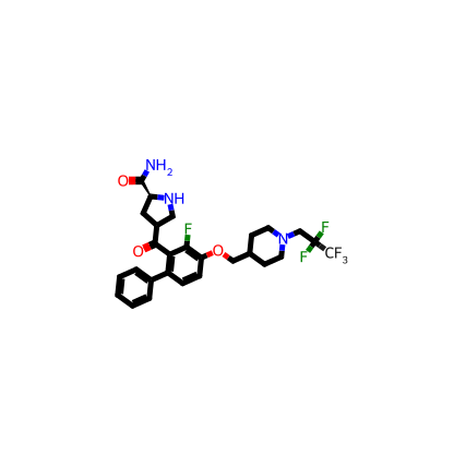 NC(=O)[C@@H]1CC(C(=O)c2c(-c3ccccc3)ccc(OCC3CCN(CC(F)(F)C(F)(F)F)CC3)c2F)CN1